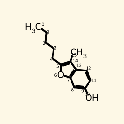 CCCCCc1oc2cc(O)ccc2c1C